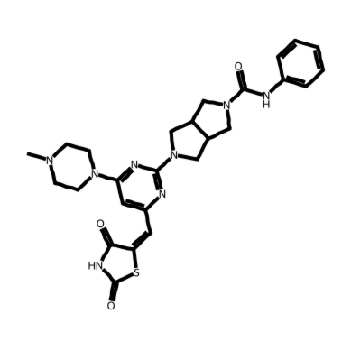 CN1CCN(c2cc(C=C3SC(=O)NC3=O)nc(N3CC4CN(C(=O)Nc5ccccc5)CC4C3)n2)CC1